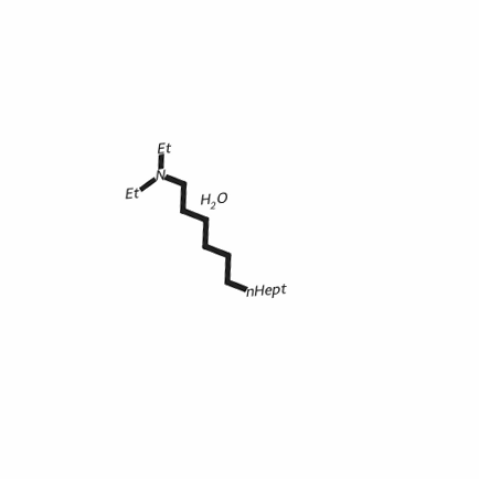 CCCCCCCCCCCCCN(CC)CC.O